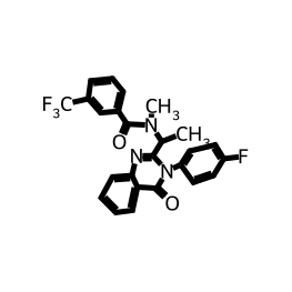 CC(c1nc2ccccc2c(=O)n1-c1ccc(F)cc1)N(C)C(=O)c1cccc(C(F)(F)F)c1